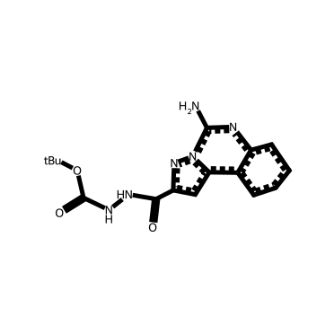 CC(C)(C)OC(=O)NNC(=O)c1cc2c3ccccc3nc(N)n2n1